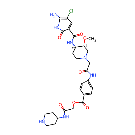 CO[C@H]1CN(CC(=O)Nc2ccc(C(=O)OCC(=O)NC3CCNCC3)cc2)CC[C@H]1NC(=O)c1cc(Cl)c(N)[nH]c1=O